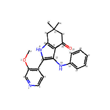 COc1cnccc1-c1[nH]c2c(c1Nc1ccccc1)C(=O)CC(C)(C)C2